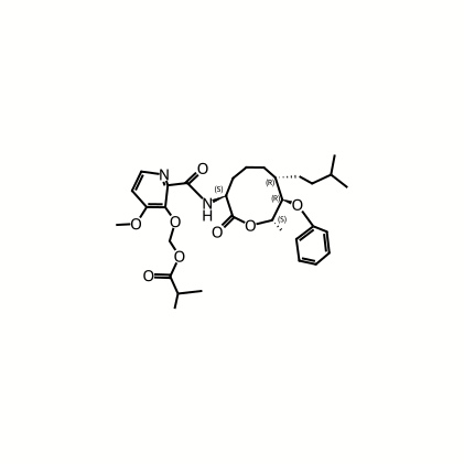 COc1ccnc(C(=O)N[C@H]2CCC[C@H](CCC(C)C)[C@@H](Oc3ccccc3)[C@H](C)OC2=O)c1OCOC(=O)C(C)C